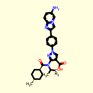 CC(C)N(c1nn(-c2ccc(-c3cn4cc(N)ccc4n3)cc2)cc1C(=O)O)C(=O)[C@H]1CC[C@H](C)CC1